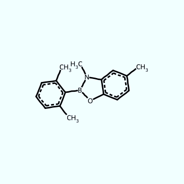 Cc1ccc2c(c1)N(C)B(c1c(C)cccc1C)O2